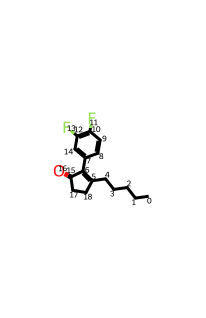 CCCCCC1=C(c2ccc(F)c(F)c2)C(=O)CC1